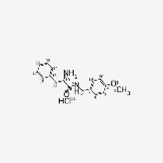 COc1ccc(CNC(=O)[C@H](N)Cc2ccccc2)cc1.Cl